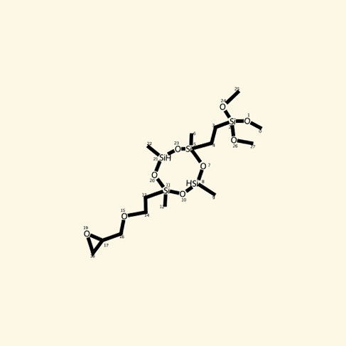 CO[Si](CC[Si]1(C)O[SiH](C)O[Si](C)(CCOCC2CO2)O[SiH](C)O1)(OC)OC